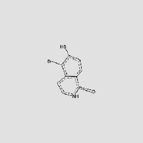 O=c1[nH]ccc2c(Br)c(O)ccc12